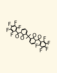 CC(C)(C1=CC=CC(C(=O)c2c(F)c(F)c(F)c(F)c2F)C1=O)C1=CC=CC(C(=O)c2c(F)c(F)c(F)c(F)c2F)C1=O